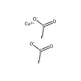 O=[Si]([O-])F.O=[Si]([O-])F.[Cu+2]